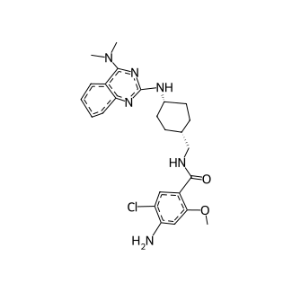 COc1cc(N)c(Cl)cc1C(=O)NC[C@H]1CC[C@@H](Nc2nc(N(C)C)c3ccccc3n2)CC1